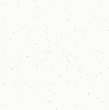 CN1CCC(C)(C(N)=O)C(C)(C2=Cc3ccccc3NC2)C1=O